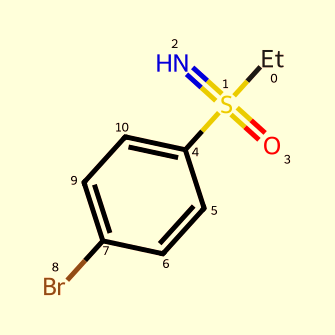 CCS(=N)(=O)c1ccc(Br)cc1